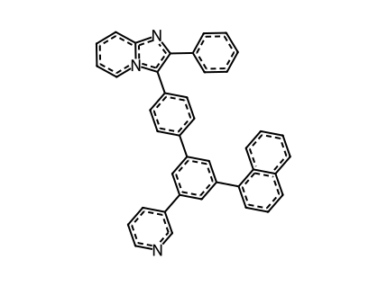 c1ccc(-c2nc3ccccn3c2-c2ccc(-c3cc(-c4cccnc4)cc(-c4cccc5ccccc45)c3)cc2)cc1